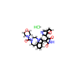 Cl.O=C1NC(=O)C(c2cncc3ccoc23)=C1c1cn2c3c(cccc13)CCN(C(=O)N1CCOCC1)CC2